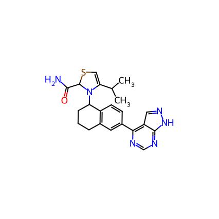 CC(C)C1=CSC(C(N)=O)N1C1CCCc2cc(-c3ncnc4[nH]ncc34)ccc21